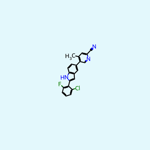 Cc1cc(C#N)ncc1-c1ccc2[nH]c(-c3c(F)cccc3Cl)cc2c1